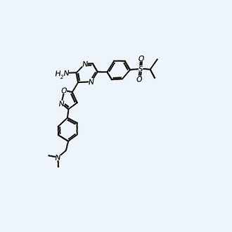 CC(C)S(=O)(=O)c1ccc(-c2cnc(N)c(-c3cc(-c4ccc(CN(C)C)cc4)no3)n2)cc1